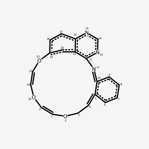 C1=C\OC/C=c2/cccc/c2=N/c2ncnc3ccc(cc23)O/C=C\O/1